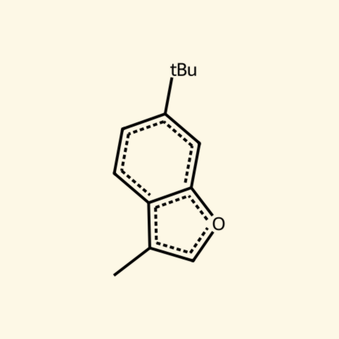 Cc1coc2cc(C(C)(C)C)ccc12